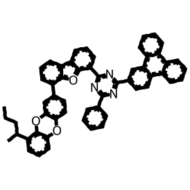 CCCC(C)c1cccc2c1Oc1cc(-c3cccc4c3oc3c(-c5nc(-c6ccccc6)nc(-c6ccc7c8ccccc8c8ccccc8c7c6)n5)cccc34)ccc1O2